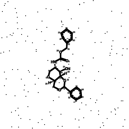 O=C(N[C@H]1CO[C@@H]2COC(c3ccccc3)O[C@H]2[C@@H]1O)OCc1ccccc1